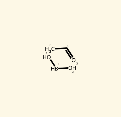 CC=O.OBO